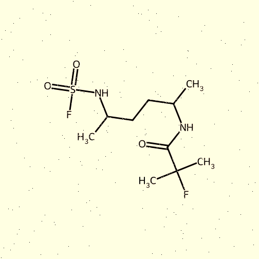 CC(CCC(C)NS(=O)(=O)F)NC(=O)C(C)(C)F